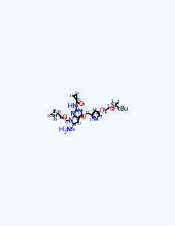 CC(C)(C)[Si](C)(C)OCCOc1cncc(COc2nc(NC(=O)C3CC3)nc3c2C[C@H](CN)N3COCC[Si](C)(C)C)c1